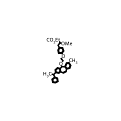 CCOC(=O)C(Cc1ccc(OCCOC2c3ccc(C(C)c4ccccc4)cc3C=Cc3ccc(C)cc32)cc1)OC